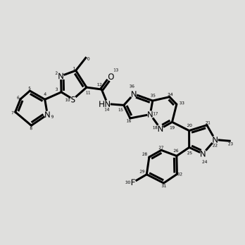 Cc1nc(-c2ccccn2)sc1C(=O)Nc1cn2nc(-c3cn(C)nc3-c3ccc(F)cc3)ccc2n1